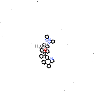 C[Si]1(C)c2cc(-n3c4ccccc4n4c5ccccc5nc34)ccc2Oc2c1cccc2[Si](c1ccccc1)(c1ccccc1)c1ccc2c(c1)-c1ccccc1-c1ccccc1-c1cccnc1-2